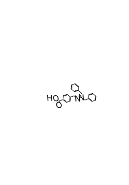 O=C(O)c1ccc(C=NN(Cc2ccccc2)Cc2ccccc2)cc1